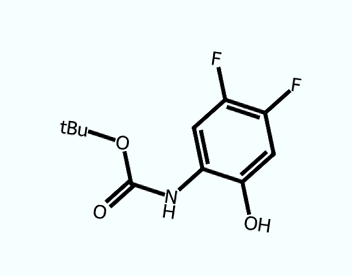 CC(C)(C)OC(=O)Nc1cc(F)c(F)cc1O